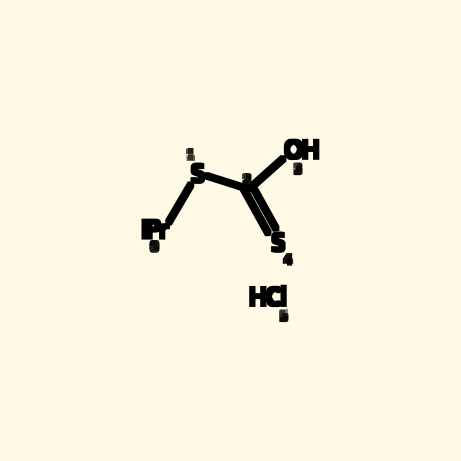 CC(C)SC(O)=S.Cl